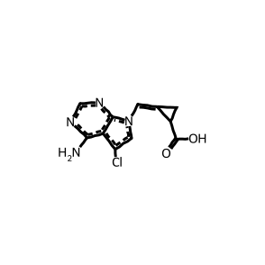 Nc1ncnc2c1c(Cl)cn2/C=C1/CC1C(=O)O